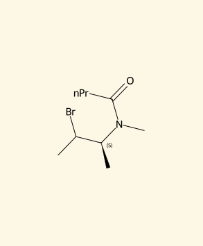 CCCC(=O)N(C)[C@@H](C)C(C)Br